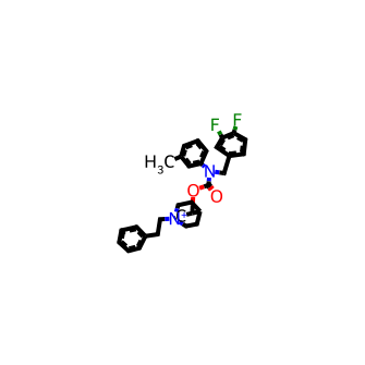 Cc1cccc(N(Cc2ccc(F)c(F)c2)C(=O)OC2C[N+]3(CCc4ccccc4)CCC2CC3)c1